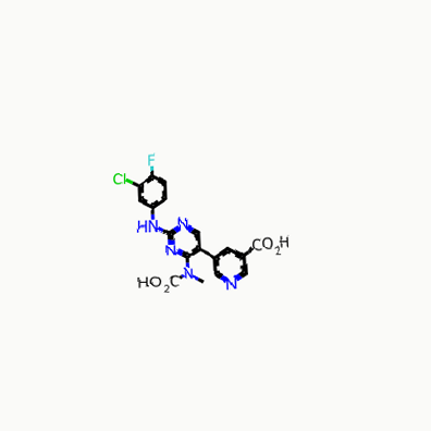 CN(C(=O)O)c1nc(Nc2ccc(F)c(Cl)c2)ncc1-c1cncc(C(=O)O)c1